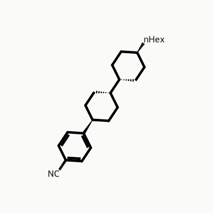 CCCCCC[C@H]1CC[C@H]([C@H]2CC[C@H](c3ccc(C#N)cc3)CC2)CC1